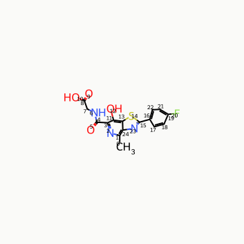 Cc1nc(C(=O)NCC(=O)O)c(O)c2sc(-c3ccc(F)cc3)nc12